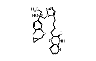 CC[C@@](O)(Cn1nncc1CCCCC1Oc2cccnc2NC1=O)c1ccc(F)c(OCC2CC2)c1